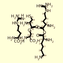 N=C(N)NCCC[C@H](N)C(=O)O.N=C(N)NCCC[C@H](N)C(=O)OC(=O)[C@@H](N)CCCCN.N[C@@H](COC(=O)[C@@H](N)CS)C(=O)O